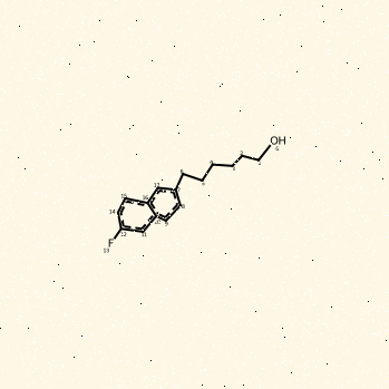 OCCCCCCc1ccc2cc(F)ccc2c1